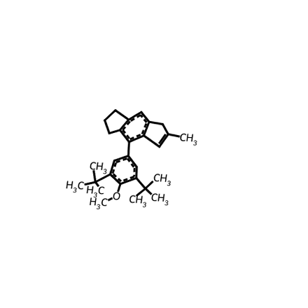 COc1c(C(C)(C)C)cc(-c2c3c(cc4c2CCC4)CC(C)=C3)cc1C(C)(C)C